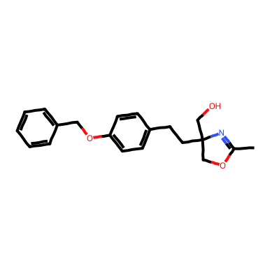 CC1=NC(CO)(CCc2ccc(OCc3ccccc3)cc2)CO1